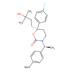 COc1ccc([C@H](C)N2CC[C@](CCC(C)(C)O)(c3ccc(F)cc3)OC2=O)cc1